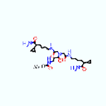 COC(=O)NCCC(=O)N(CC(=O)NCCCCC(C(N)=O)C1CC1)CC(=O)NCCCCC(C(N)=O)C1CC1